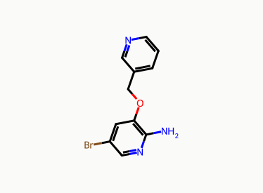 Nc1ncc(Br)cc1OCc1cccnc1